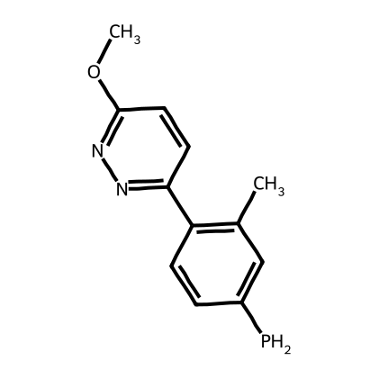 COc1ccc(-c2ccc(P)cc2C)nn1